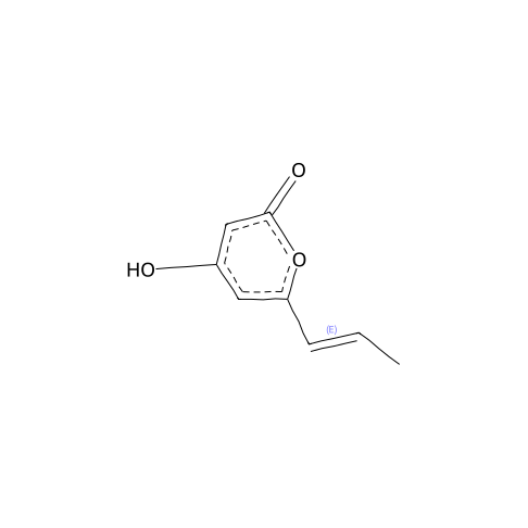 C/C=C/c1cc(O)cc(=O)o1